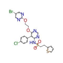 O=S(=O)(CCc1cccs1)Nc1ncnc(OCCOc2ncc(Br)cn2)c1-c1ccc(Cl)cc1